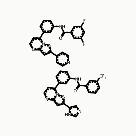 O=C(Nc1cccc(-c2ccnc3cc(-c4ccncc4)nn23)c1)c1cc(F)cc(F)c1.O=C(Nc1cccc(-c2ccnc3cc(-c4cnc[nH]4)nn23)c1)c1cccc(C(F)(F)F)c1